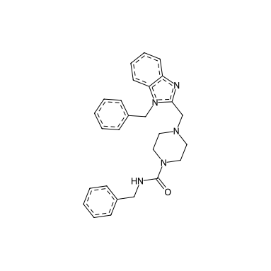 O=C(NCc1ccccc1)N1CCN(Cc2nc3ccccc3n2Cc2ccccc2)CC1